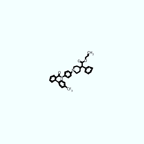 C=CCOC(=O)C(c1ccccc1)C1CCN(c2ccc(NC(=O)c3ccccc3-c3ccc(C(F)(F)F)cc3)cc2)CC1